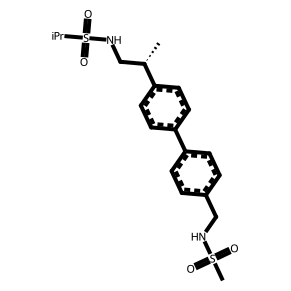 CC(C)S(=O)(=O)NC[C@H](C)c1ccc(-c2ccc(CNS(C)(=O)=O)cc2)cc1